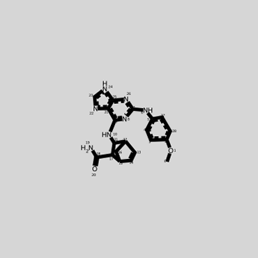 COc1ccc(Nc2nc(NC3C4C=CC(C4)C3C(N)=O)c3nc[nH]c3n2)cc1